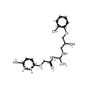 CC(NCC(O)COc1ccccc1Cl)NC(=O)COc1ccc(S)nn1